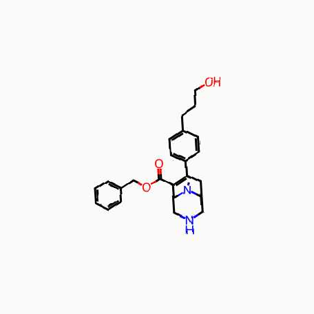 CN1C2CNCC1C(C(=O)OCc1ccccc1)=C(c1ccc(CCCO)cc1)C2